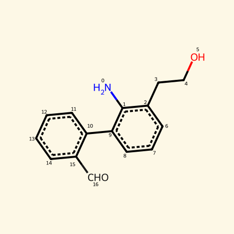 Nc1c(CCO)cccc1-c1ccccc1C=O